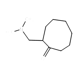 CN(C)CC1CCCCCCC1=O